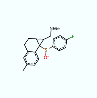 CNCC1C2CCc3cc(C)ccc3C21[S+]([O-])c1ccc(F)cc1